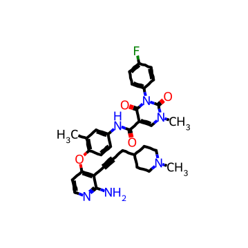 Cc1cc(NC(=O)c2cn(C)c(=O)n(-c3ccc(F)cc3)c2=O)ccc1Oc1ccnc(N)c1C#CCC1CCN(C)CC1